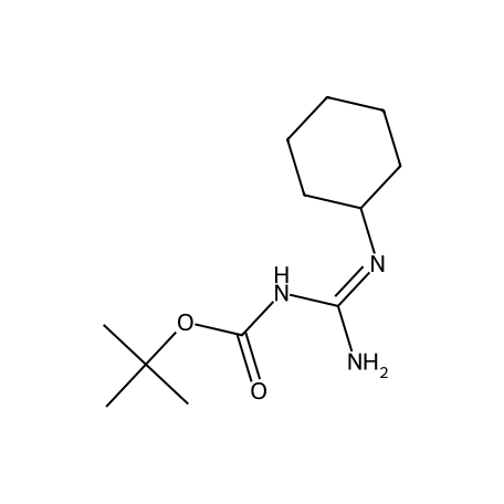 CC(C)(C)OC(=O)NC(N)=NC1CCCCC1